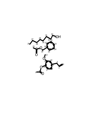 C=CCc1ccc(OC(C)=O)c(OC)c1.CC(=O)OCc1ccccc1.CCCCCCCCO